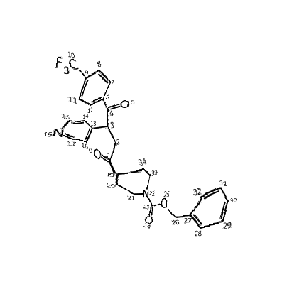 O=C(CC(C(=O)c1ccc(C(F)(F)F)cc1)c1ccncc1)C1CCN(C(=O)OCc2ccccc2)CC1